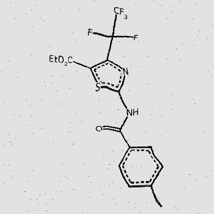 CCOC(=O)c1sc(NC(=O)c2ccc(C)cc2)nc1C(F)(F)C(F)(F)F